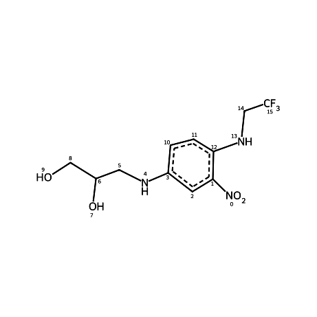 O=[N+]([O-])c1cc(NCC(O)CO)ccc1NCC(F)(F)F